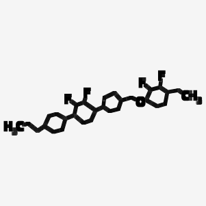 CCCC1CCC(C2CCC(C3CCC(COC4CCC(CC)C(F)C4F)CC3)C(F)C2F)CC1